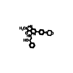 Cn1cnc2cc(-c3ccc(N4CCOCC4)cc3)nc(NC[C@@H](O)c3ccccc3)c2c1=O